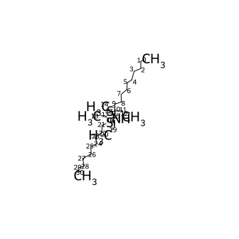 CCCCCCCCCC[Si](CC)(CC)N[Si](CC)(CC)CCCCCCCCCC